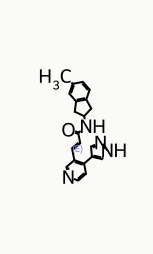 Cc1ccc2c(c1)CC(NC(=O)/C=C/c1cnccc1-c1cn[nH]c1)C2